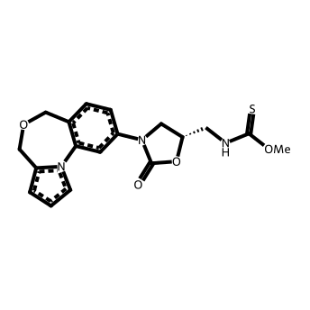 COC(=S)NC[C@H]1CN(c2ccc3c(c2)-n2cccc2COC3)C(=O)O1